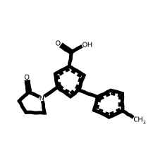 Cc1ccc(-c2cc(C(=O)O)cc(N3CCCC3=O)c2)cc1